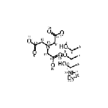 CCO.CCO.CCO.O=C([O-])CN(CC(=O)[O-])CC(=O)[O-].[Dy+2].[NH4+]